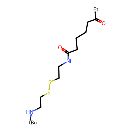 CCC(=O)CCCCC(=O)NCCSSCCNC(C)(C)C